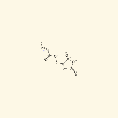 C/C=C/C(=O)OCC1CC(=O)OC1=O